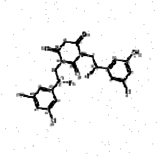 Cc1cc(Cl)cc([C@@H](F)CN2C(=O)CC(=O)N(C[C@H](F)c3cc(F)cc(Cl)c3)C2=O)c1